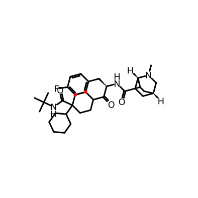 CN1C[C@@H]2CC[C@H]1C(C(=O)N[C@H](Cc1ccc(F)cc1)C(=O)C1CCC(C(=O)NC(C)(C)C)(C3CCCCC3)CC1)C2